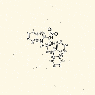 O=[SH](=O)Cc1nc2ccccc2n1CC(O)Cn1c2ccccc2c2ccccc21